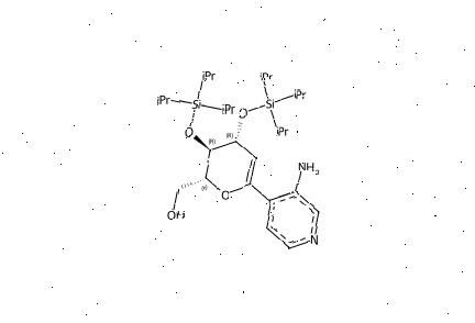 CC(C)[Si](O[C@H]1[C@H](O[Si](C(C)C)(C(C)C)C(C)C)C=C(c2ccncc2N)O[C@@H]1CO)(C(C)C)C(C)C